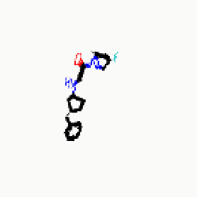 O=C(CN[C@@H]1CC[C@H](Cc2ccccc2)C1)N1[CH]C[C@H](F)C1